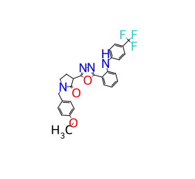 COc1ccc(CN2CCC(c3nnc(-c4ccccc4Nc4ccc(C(F)(F)F)cc4)o3)C2=O)cc1